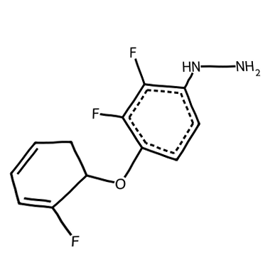 NNc1ccc(OC2CC=CC=C2F)c(F)c1F